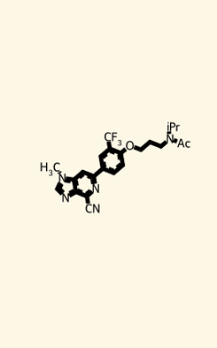 CC(=O)N(CCCOc1ccc(-c2cc3c(ncn3C)c(C#N)n2)cc1C(F)(F)F)C(C)C